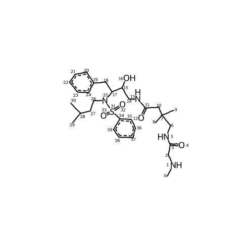 CNCC(=O)NCC(C)(C)CC(=O)NCC(O)C(Cc1ccccc1)N(CCC(C)C)S(=O)(=O)c1ccccc1